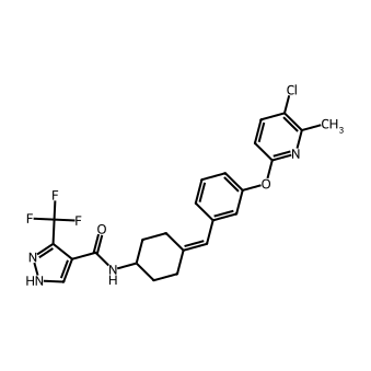 Cc1nc(Oc2cccc(C=C3CCC(NC(=O)c4c[nH]nc4C(F)(F)F)CC3)c2)ccc1Cl